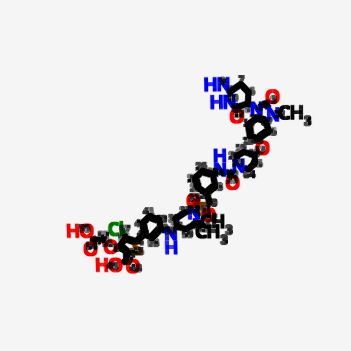 Cn1c(=O)n(C2CCC(=N)NC2=O)c2ccc(OC3CCN(C(=O)Nc4cccc(CS(=O)(=O)N5CC[C@H](Nc6cccc(-c7sc(C(=O)O)c(OCC(=O)O)c7Cl)c6)CC5(C)C)c4)CC3)cc21